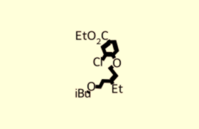 CCOC(=O)c1ccc(OCC=C(CC)CCOC(C)CC)c(Cl)c1